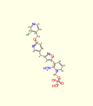 Nc1c(-c2cc(Cc3ccc(OCc4ccncc4F)nc3)no2)ccc[n+]1COP(=O)([O-])O